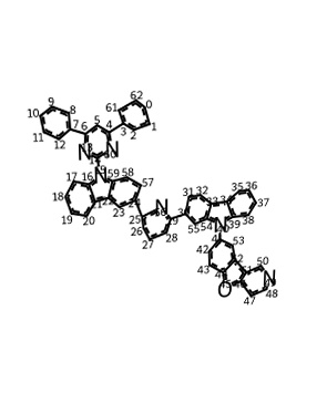 c1ccc(-c2cc(-c3ccccc3)nc(-n3c4ccccc4c4cc(-c5cccc(-c6ccc7c8ccccc8n(-c8ccc9oc%10ccncc%10c9c8)c7c6)n5)ccc43)n2)cc1